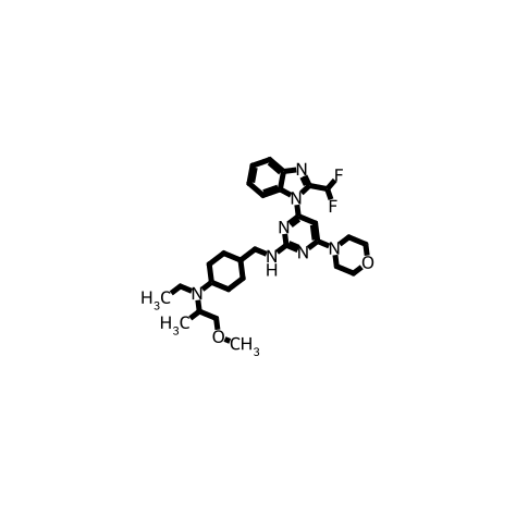 CCN(C(C)COC)C1CCC(CNc2nc(N3CCOCC3)cc(-n3c(C(F)F)nc4ccccc43)n2)CC1